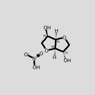 O=[N+]([O-])O.O[C@@H]1CO[C@H]2[C@@H]1OC[C@@H]2O